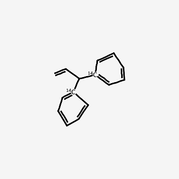 C=C[C]([14c]1ccccc1)[14c]1ccccc1